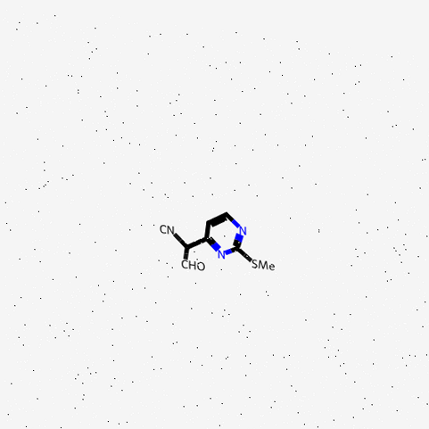 [C-]#[N+]C(C=O)c1ccnc(SC)n1